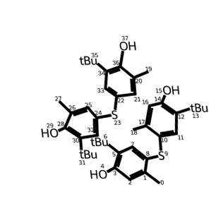 Cc1cc(O)c(C(C)(C)C)cc1Sc1cc(C(C)(C)C)c(O)cc1C.Cc1cc(Sc2cc(C)c(O)c(C(C)(C)C)c2)cc(C(C)(C)C)c1O